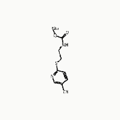 CC(C)(C)OC(=O)NCCSc1ccc(C#N)cn1